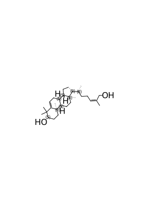 CC(=CCC[C@@H](C)[C@H]1CC[C@H]2[C@@H]3CC=C4C(C)(C)[C@@H](O)CC[C@]4(C)[C@H]3CC[C@]12C)CO